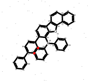 c1ccc(-c2ccc(-c3ccc4c(oc5c6ccccc6ccc45)c3N(c3ccccc3)c3ccccc3)cc2)cc1